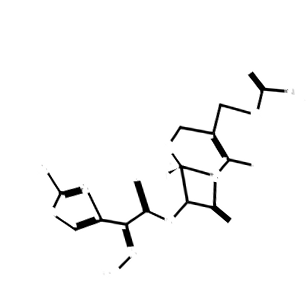 CC(C)CON=C(C(=O)NC1C(=O)N2C(C(=O)O)=C(COC(N)=O)CS[C@@H]12)c1csc(N)n1